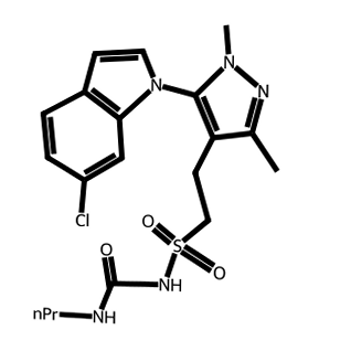 CCCNC(=O)NS(=O)(=O)CCc1c(C)nn(C)c1-n1ccc2ccc(Cl)cc21